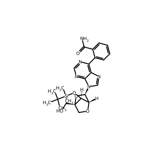 CC(C)(C)[Si](C)(C)O[C@H]1[C@H]2OC[C@]1(CO)O[C@H]2n1cnc2c(-c3ccccc3C(N)=O)ncnc21